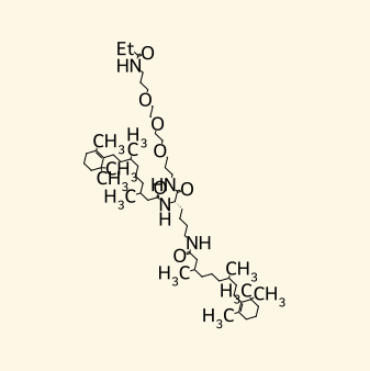 CCC(=O)NCCCOCCOCCOCCCNC(=O)[C@H](CCCCNC(=O)CC(C)CCCC(C)CCC1=C(C)CCCC1(C)C)NC(=O)CC(C)CCCC(C)CCC1=C(C)CCCC1(C)C